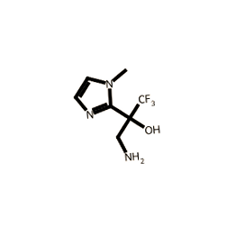 Cn1ccnc1C(O)(CN)C(F)(F)F